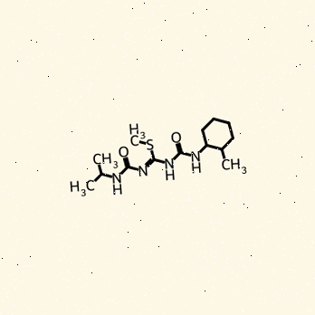 CSC(=NC(=O)NC(C)C)NC(=O)NC1CCCCC1C